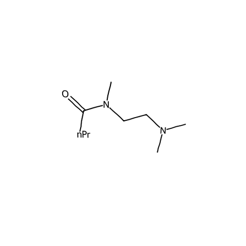 CCCC(=O)N(C)CCN(C)C